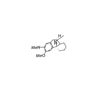 CNc1cc2c(cc1OC)[C@]13CCCC[C@@H]1[C@H](C2)N(C)CC3